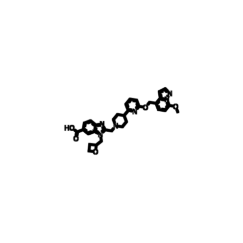 COc1ccc(COc2cccc(C3CCN(Cc4nc5ccc(C(=O)O)cc5n4CC4CCO4)CC3)n2)c2ccnn12